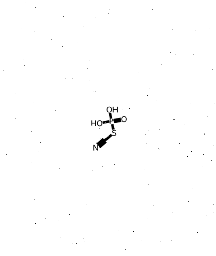 N#CSP(=O)(O)O